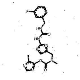 Cc1ncsc1OC(=O)N(C)Cc1csc(NC(=O)NCc2cccc(F)c2)n1